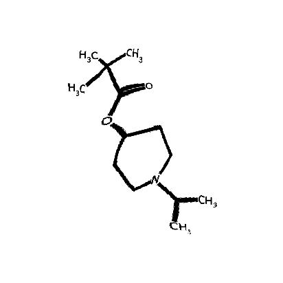 CC(C)N1CCC(OC(=O)C(C)(C)C)CC1